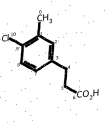 Cc1cc(CCC(=O)O)ccc1Cl